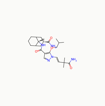 CC(C)COc1c(C(=O)N[C@H]2C3CCCC2C[C@H](C(N)=O)C3)cnn1/C=C/C(C)(C)C(N)=O